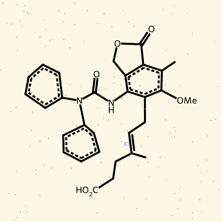 COc1c(C)c2c(c(NC(=O)N(c3ccccc3)c3ccccc3)c1C/C=C(\C)CCC(=O)O)COC2=O